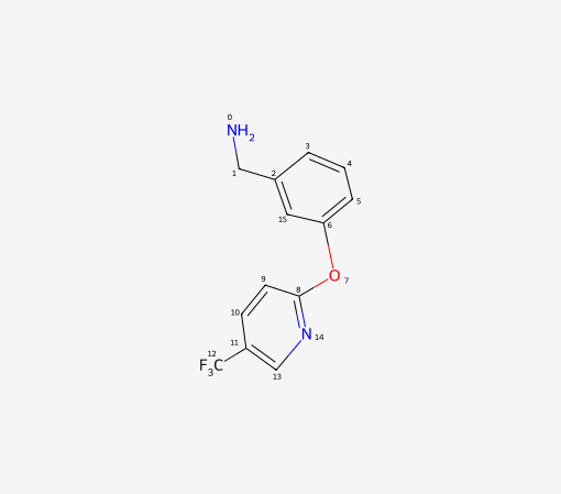 NCc1cccc(Oc2ccc(C(F)(F)F)cn2)c1